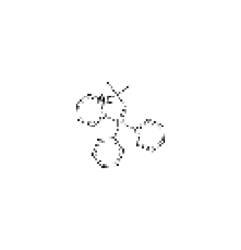 CC(=O)C(C)(C)C=P(c1ccccc1)(c1ccccc1)c1ccccc1